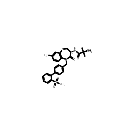 CC(C)(N)C(=O)N[C@@H]1CSc2cc(C(F)(F)F)ccc2N(Cc2ccc(-c3ccccc3S(N)(=O)=O)cc2)C1=O